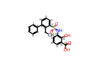 CCc1c(-c2ccccc2)cccc1S(=O)(=O)Nc1cccc(C(=O)O)c1O